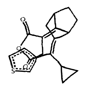 O=C1CC(=C2C3CCC2C(=C(c2ccsc2)C2CC2)C3)C(=O)O1